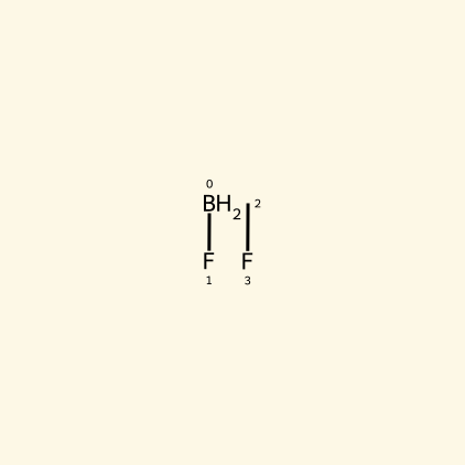 BF.CF